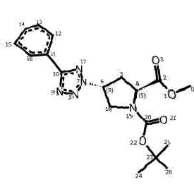 COC(=O)[C@@H]1C[C@@H](n2nnc(-c3ccccc3)n2)CN1C(=O)OC(C)(C)C